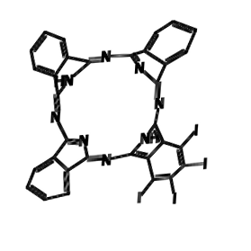 Ic1c(I)c(I)c2c3nc4nc(nc5[nH]c(nc6nc(nc([nH]3)c2c1I)-c1ccccc1-6)c1ccccc51)-c1ccccc1-4